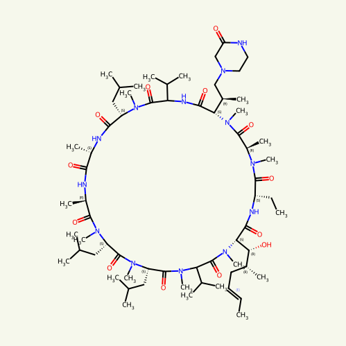 C/C=C/C[C@@H](C)[C@@H](O)[C@H]1C(=O)N[C@@H](CC)C(=O)N(C)[C@H](C)C(=O)N(C)[C@@H]([C@H](C)CN2CCNC(=O)C2)C(=O)NC(C(C)C)C(=O)N(C)[C@@H](CC(C)C)C(=O)N[C@@H](C)C(=O)N[C@H](C)C(=O)N(C)[C@@H](CC(C)C)C(=O)N(C)[C@@H](CC(C)C)C(=O)N(C)C(C(C)C)C(=O)N1C